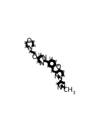 Cn1cc(-n2ccc(=O)c(Cc3cccc(-c4ncc(OCCN5CCOCC5)cn4)c3)n2)cn1